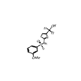 CCC(O)(CC)c1csc(NS(=O)(=O)c2cccc(OC)c2)n1